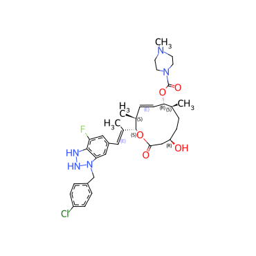 C/C(=C\c1cc(F)c2c(c1)N(Cc1ccc(Cl)cc1)NN2)[C@H]1OC(=O)C[C@H](O)CC[C@H](C)[C@@H](OC(=O)N2CCN(C)CC2)/C=C/[C@@H]1C